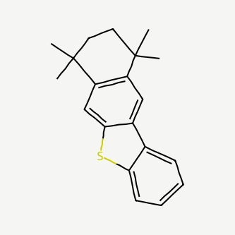 CC1(C)CCC(C)(C)c2cc3c(cc21)sc1ccccc13